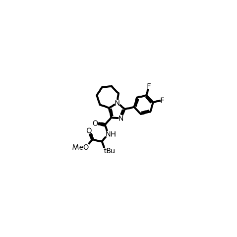 COC(=O)C(NC(=O)c1nc(-c2ccc(F)c(F)c2)n2c1CCCCC2)C(C)(C)C